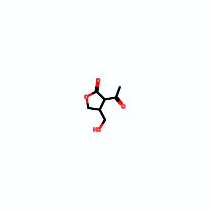 CC(=O)C1C(=O)OCC1CO